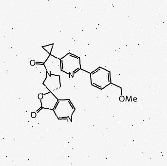 COCc1ccc(-c2ccc(C3(C(=O)N4CC[C@@]5(C4)OC(=O)c4cnccc45)CC3)cn2)cc1